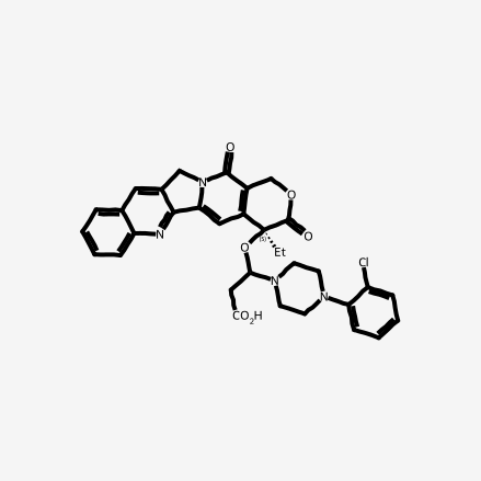 CC[C@@]1(OC(CC(=O)O)N2CCN(c3ccccc3Cl)CC2)C(=O)OCc2c1cc1n(c2=O)Cc2cc3ccccc3nc2-1